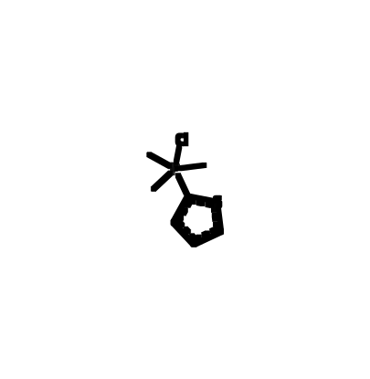 CP(C)(C)(Cl)c1cccs1